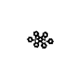 c1ccc(N2B3c4ccccc4-c4c3c(c3c5c4-c4ccccc4B5N(c4ccccc4)c4ccccc4-3)-c3ccccc32)cc1